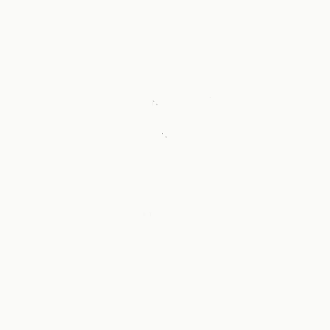 CC(C)c1cccc(C2=CC=CCC2)c1-c1ccc(C/N=C(\N)c2ccc(-c3ccccc3)cc2)cc1